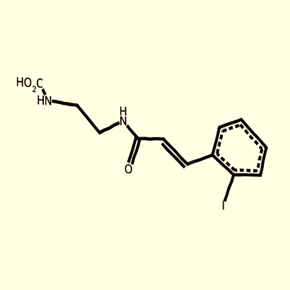 O=C(O)NCCNC(=O)/C=C/c1ccccc1I